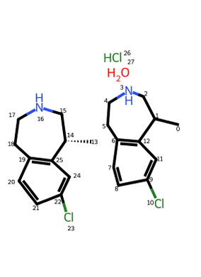 CC1CNCCc2ccc(Cl)cc21.C[C@H]1CNCCc2ccc(Cl)cc21.Cl.O